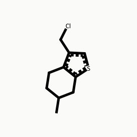 CC1CCc2c(CCl)csc2C1